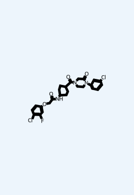 O=C(COc1ccc(Cl)c(F)c1)NC1CCC(C(=O)N2CCN(c3cccc(Cl)c3)C(=O)C2)CC1